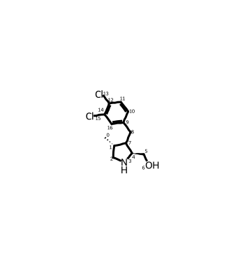 C[C@H]1CN[C@H](CO)C1Cc1ccc(Cl)c(Cl)c1